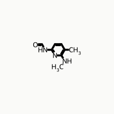 CNc1nc(NC=O)ccc1C